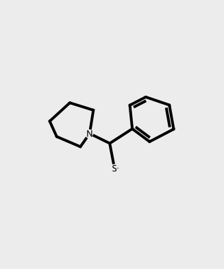 [S]C(c1ccccc1)N1CCCCC1